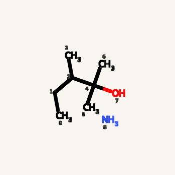 CCC(C)C(C)(C)O.N